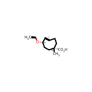 C=CO[C@@H]1/C=C/CC[C@](C)(C(=O)O)CC1